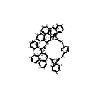 C1=Cc2cc3c(-c4ccccc4)c(-c4ccccc4)c(c(-c4ccccc4)c4nc(c(-c5ccccc5)c5nnc(cc1n2)n5-c1ccccc1)C(c1ccccc1)=C4c1ccccc1)n3-c1ccccc1